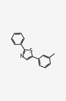 Cc1cccc(-c2cnc(-c3ccccc3)s2)c1